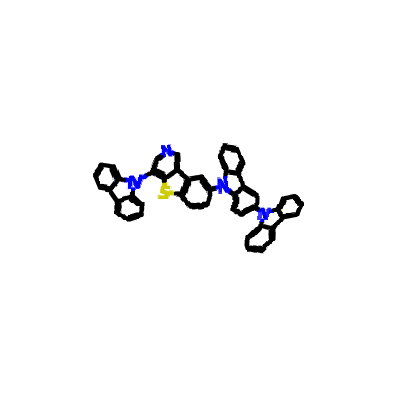 c1ccc2c(c1)c1ccccc1n2-c1ccc2c(c1)c1ccccc1n2-c1ccc2sc3c(-n4c5ccccc5c5ccccc54)cncc3c2c1